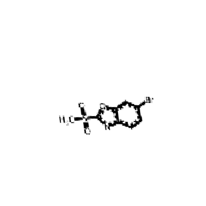 CS(=O)(=O)c1nc2ccc(Br)cc2o1